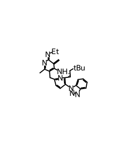 C=C1C(N)=C(Cc2ccc(-n3nnc4ccccc43)c(CCC(C)(C)C)n2)C(C)=N/C1=N/CC